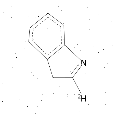 [2H]C1=Nc2ccccc2C1